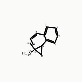 C/C=C\c1ccccc1C1C[C@@]1(C)S(=O)(=O)O